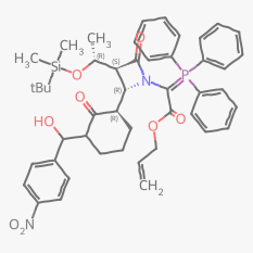 C=CCOC(=O)C(N1C(=O)[C@H]([C@@H](C)O[Si](C)(C)C(C)(C)C)[C@H]1[C@H]1CCCC(C(O)c2ccc([N+](=O)[O-])cc2)C1=O)=P(c1ccccc1)(c1ccccc1)c1ccccc1